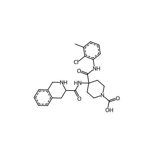 Cc1cccc(NC(=O)C2(NC(=O)C3Cc4ccccc4CN3)CCN(C(=O)O)CC2)c1Cl